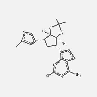 Cn1cc([C@H]2C[C@@H](n3ccc4c(N)nc(Cl)nc43)[C@@H]3OC(C)(C)O[C@@H]32)cn1